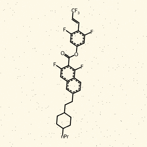 CCCC1CCC(CCc2ccc3c(F)c(C(=O)Oc4cc(F)c(/C=C/C(F)(F)F)c(F)c4)c(F)cc3c2)CC1